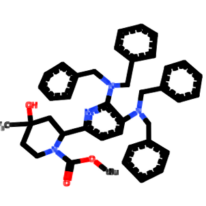 CC(C)(C)OC(=O)N1CCC(O)(C(F)(F)F)CC1c1ccc(N(Cc2ccccc2)Cc2ccccc2)c(N(Cc2ccccc2)Cc2ccccc2)n1